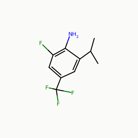 CC(C)c1cc(C(F)(F)F)cc(F)c1N